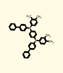 Cc1ccc(N(c2ccc(-c3ccccc3)cc2)c2ccc(N(c3ccc(-c4ccccc4)cc3)c3ccc(C)c(C)c3)cc2)cc1C